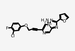 N[N+]12C=C(C#CCOc3ccc(F)c(Cl)c3)N=CC1=NC(c1ccco1)=N2